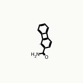 NC(=O)c1[c]c2c(cc1)-c1ccccc1-2